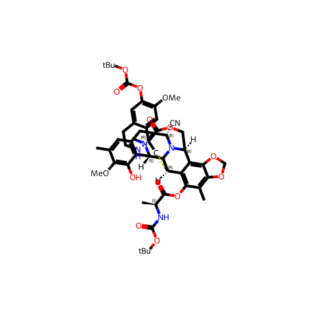 COc1cc2c(cc1OC(=O)OC(C)(C)C)CCN[C@]21CS[C@@H]2c3c(OC(=O)[C@H](C)NC(=O)OC(C)(C)C)c(C)c4c(c3[C@H](COC1=O)N1C2[C@@H]2c3c(cc(C)c(OC)c3O)CC([C@@H]1C#N)N2C)OCO4